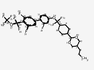 CCCC1COC(C2CCC(C(F)(F)Oc3ccc(-c4cc(F)c(C(F)(F)OC(F)(F)F)c(F)c4)c(F)c3)CC2)OC1